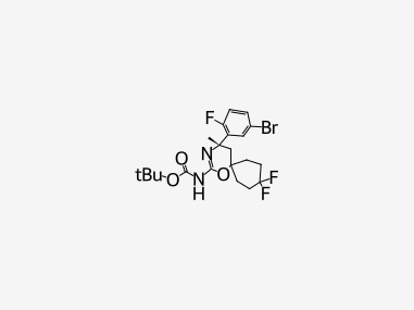 CC(C)(C)OC(=O)NC1=N[C@](C)(c2cc(Br)ccc2F)CC2(CCC(F)(F)CC2)O1